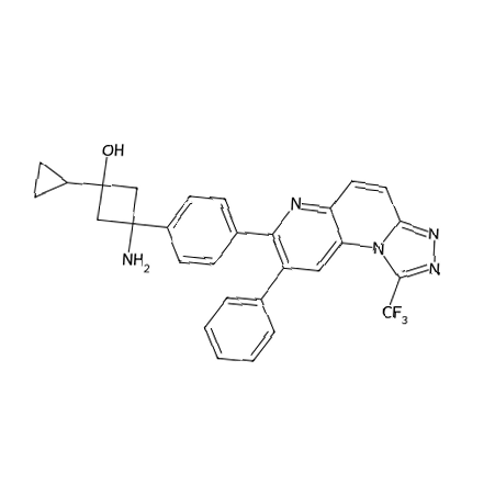 NC1(c2ccc(-c3nc4ccc5nnc(C(F)(F)F)n5c4cc3-c3ccccc3)cc2)CC(O)(C2CC2)C1